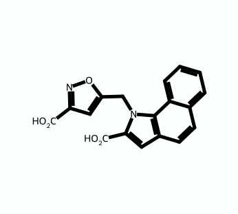 O=C(O)c1cc(Cn2c(C(=O)O)cc3ccc4ccccc4c32)on1